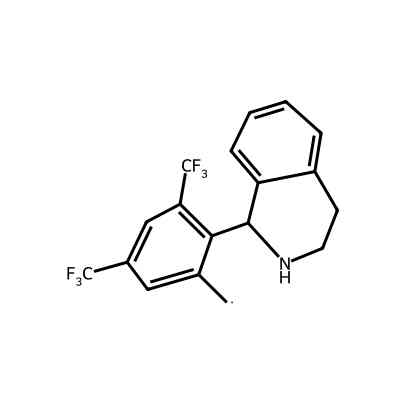 [CH2]c1cc(C(F)(F)F)cc(C(F)(F)F)c1C1NCCc2ccccc21